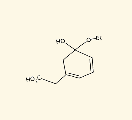 CCOC1(O)C=CC=C(CC(=O)O)C1